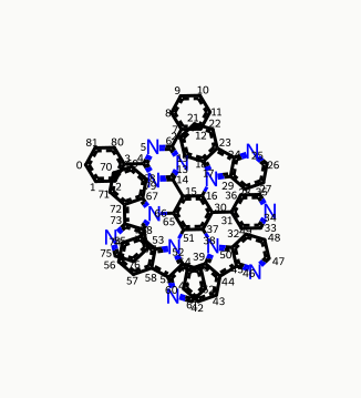 c1ccc(-c2nc(-c3ccccc3)nc(-c3c(-n4c5ccccc5c5ncccc54)c(-c4ccncc4)c(-n4c5ccccc5c5ncccc54)c(-n4c5ccccc5c5ncccc54)c3-n3c4ccccc4c4ncccc43)n2)cc1